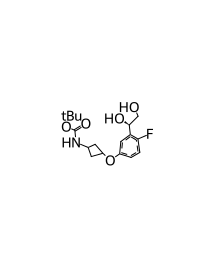 CC(C)(C)OC(=O)NC1CC(Oc2ccc(F)c([C@@H](O)CO)c2)C1